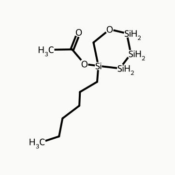 CCCCCC[Si]1(OC(C)=O)CO[SiH2][SiH2][SiH2]1